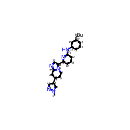 Cn1cc(-c2ccn3c(-c4cccc(Nc5cccc(C(C)(C)C)c5)n4)cnc3c2)cn1